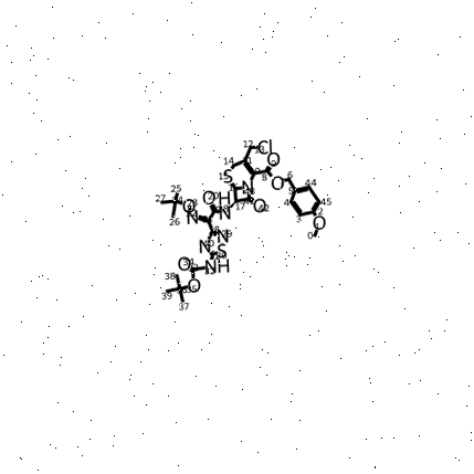 COc1ccc(COC(=O)C2=C(CCl)CSC3[C@H](NC(=O)/C(=N\OC(C)(C)C)c4nsc(NC(=O)OC(C)(C)C)n4)C(=O)N23)cc1